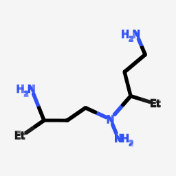 CCC(N)CCN(N)C(CC)CCN